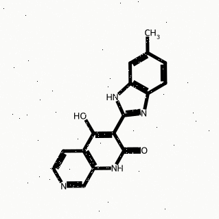 Cc1ccc2nc(-c3c(O)c4ccncc4[nH]c3=O)[nH]c2c1